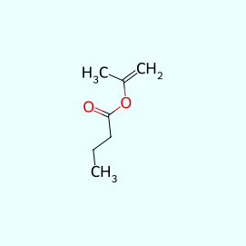 C=C(C)OC(=O)CCC